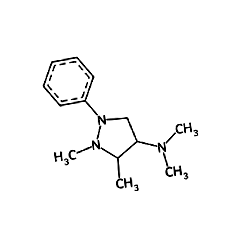 CC1C(N(C)C)CN(c2ccccc2)N1C